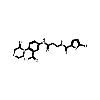 O=C(CCNC(=O)c1ccc(Cl)s1)Nc1ccc(N2CCOCC2=O)c(C(=O)O)c1